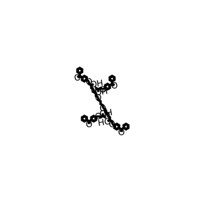 O=C(c1ccccc1)c1ccc(OCC(O)CN(CCCOCCCCOCCCN(CC(O)COc2ccc(C(=O)c3ccccc3)cc2)CC(O)COc2ccc(C(=O)c3ccccc3)cc2)CC(O)COc2ccc(C(=O)c3ccccc3)cc2)cc1